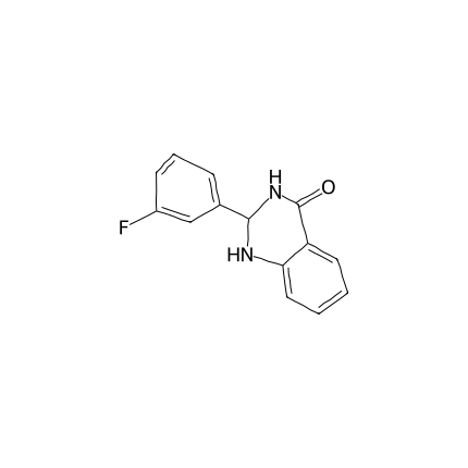 O=C1NC(c2cccc(F)c2)Nc2ccccc21